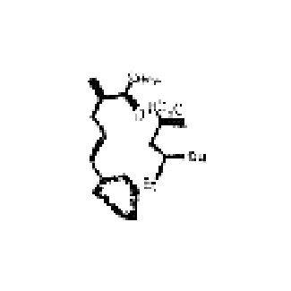 C=C(CC(CC)CCCC)C(=O)O.C=C(CC=Cc1ccccc1)C(=O)OC